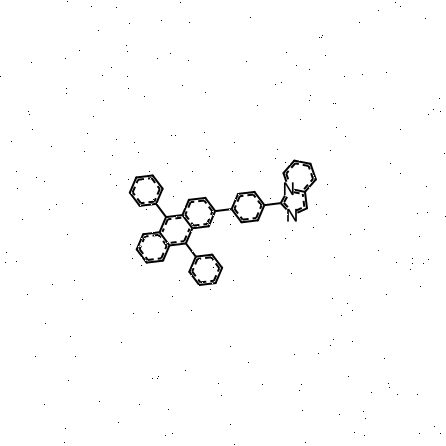 c1ccc(-c2c3ccccc3c(-c3ccccc3)c3cc(-c4ccc(-c5ncc6ccccn56)cc4)ccc23)cc1